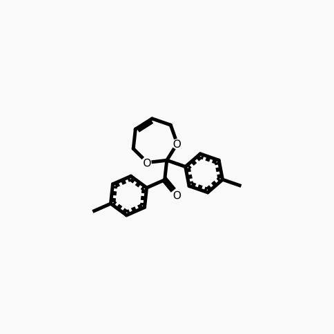 Cc1ccc(C(=O)C2(c3ccc(C)cc3)OCC=CCO2)cc1